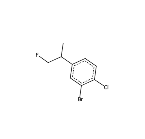 C[C](CF)c1ccc(Cl)c(Br)c1